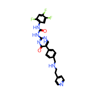 O=C(Nc1nc(=O)c(-c2ccc(CNCCc3ccncc3)cc2)c[nH]1)Nc1cc(F)c(F)cc1F